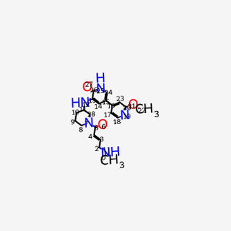 CNC/C=C/C(=O)N1CCCC(Nc2cc(-c3ccnc(OC)c3)c[nH]c2=O)C1